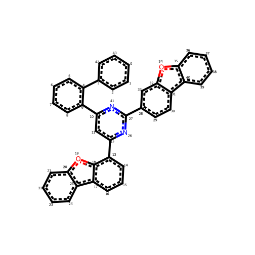 c1ccc(-c2ccccc2-c2cc(-c3cccc4c3oc3ccccc34)nc(-c3ccc4c(c3)oc3ccccc34)n2)cc1